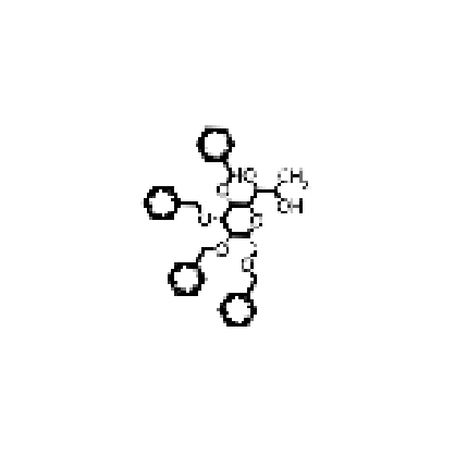 C[C@@H](O)[C@H](O)[C@H]1O[C@H](COCc2ccccc2)[C@@H](OCc2ccccc2)[C@H](OCc2ccccc2)[C@@H]1OCc1ccccc1